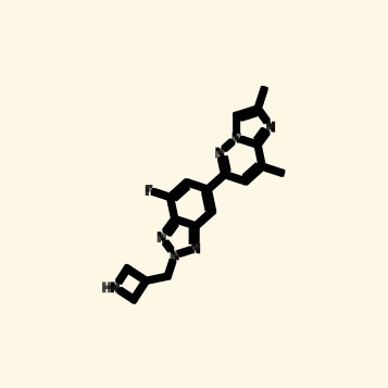 Cc1cn2nc(-c3cc(F)c4nn(CC5CNC5)nc4c3)cc(C)c2n1